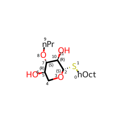 CCCCCCCCS[C@@H]1OC[C@@H](O)[C@H](OCCC)[C@H]1O